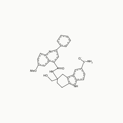 COc1ccc2nc(-c3ccccc3)cc(C(=O)NC3(CO)CCc4[nH]c5ccc([S+](N)[O-])cc5c4C3)c2c1